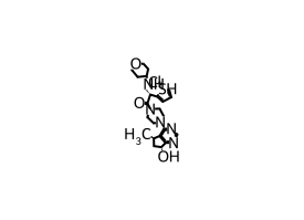 C[C@@H]1C[C@@H](O)c2ncnc(N3CCN(C(=O)[C@H](CNC4CCOCC4)C4=CC=C[SH]4Cl)CC3)c21